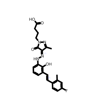 CC1=NN(CCCC(=O)O)C(=O)/C1=N\Nc1cccc(/C=C/c2ccc(F)cc2C)c1O